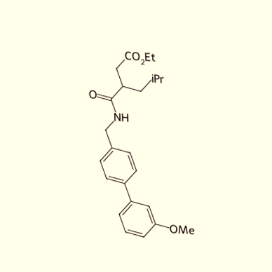 CCOC(=O)CC(CC(C)C)C(=O)NCc1ccc(-c2cccc(OC)c2)cc1